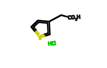 Cl.O=C(O)Cc1ccsc1